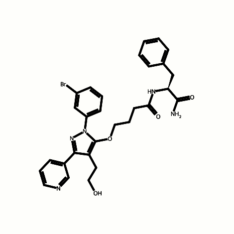 NC(=O)[C@H](Cc1ccccc1)NC(=O)CCCOc1c(CCO)c(-c2cccnc2)nn1-c1cccc(Br)c1